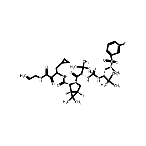 C=CCNC(=O)C(=O)C(CC1CC1)NC(=O)[C@@H]1[C@@H]2[C@H](CN1C(=O)[C@@H](NC(=O)N[C@H](CN(C)S(=O)(=O)c1cccc(F)c1)C(C)(C)C)C(C)(C)C)C2(C)C